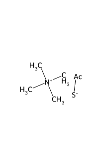 CC(=O)[S-].C[N+](C)(C)C